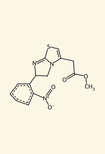 COC(=O)CC1=CSC2=NC(c3ccccc3[N+](=O)[O-])CN12